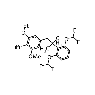 CCOc1cc(CC(C)(C)c2c(OC(F)F)cccc2OC(F)F)cc(OC)c1C(C)C